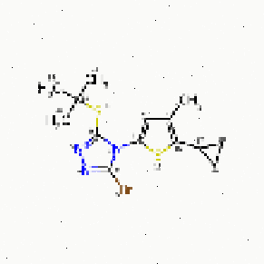 Cc1cc(-n2c(Br)nnc2SC(C)(C)C)sc1C1CC1